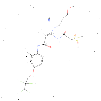 C=NN(CCCOC(F)(F)F)/C(NC(=O)CS(C)(=O)=O)=C(\CCC)C(=O)Nc1ccc(OCC(F)(F)C(F)F)cc1CC